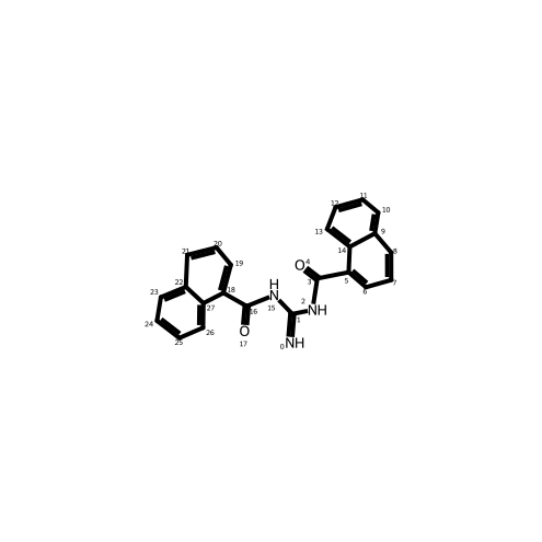 N=C(NC(=O)c1cccc2ccccc12)NC(=O)c1cccc2ccccc12